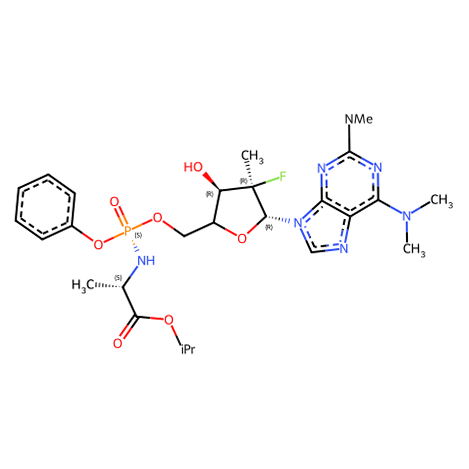 CNc1nc(N(C)C)c2ncn([C@@H]3OC(CO[P@@](=O)(N[C@@H](C)C(=O)OC(C)C)Oc4ccccc4)[C@@H](O)[C@@]3(C)F)c2n1